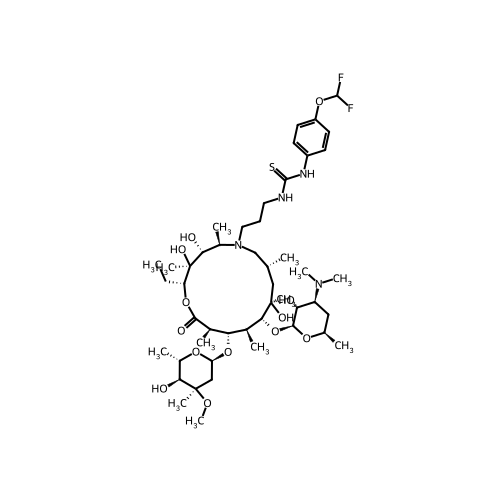 CC[C@H]1OC(=O)[C@H](C)[C@@H](O[C@H]2C[C@@](C)(OC)[C@@H](O)[C@H](C)O2)[C@H](C)[C@@H](O[C@@H]2O[C@H](C)C[C@H](N(C)C)[C@H]2O)[C@](C)(O)C[C@@H](C)CN(CCCNC(=S)Nc2ccc(OC(F)F)cc2)[C@H](C)[C@@H](O)[C@]1(C)O